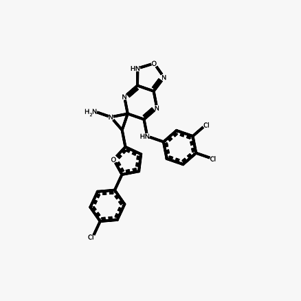 NN1C(c2ccc(-c3ccc(Cl)cc3)o2)C12N=C1NON=C1N=C2Nc1ccc(Cl)c(Cl)c1